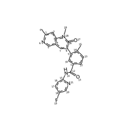 Cc1cc2c(cn1)cc(-c1cc(C(=O)Nc3ccc(F)cn3)ccc1C)c(=O)n2C